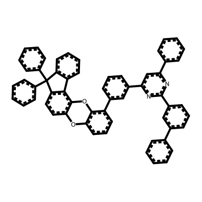 c1ccc(-c2cccc(-c3nc(-c4ccccc4)cc(-c4cccc(-c5cccc6c5Oc5c(ccc7c5-c5ccccc5C7(c5ccccc5)c5ccccc5)O6)c4)n3)c2)cc1